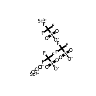 O=S(=O)([O-])C(F)(F)F.O=S(=O)([O-])C(F)(F)F.O=S(=O)([O-])C(F)(F)F.[Cl-].[Cl-].[Cl-].[Sc+3].[Sc+3]